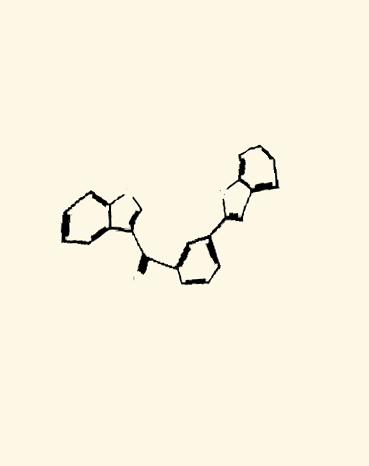 O=C(c1cccc(-c2cc3ccccc3[nH]2)c1)c1c[nH]c2ccccc12